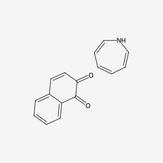 C1=CC=CNC=C1.O=C1C=Cc2ccccc2C1=O